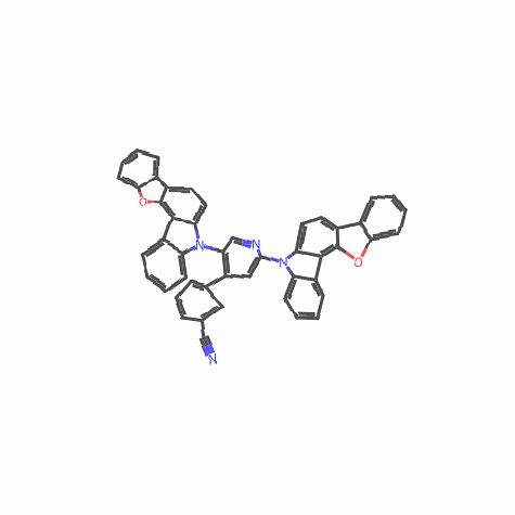 N#Cc1cccc(-c2cc(-n3c4ccccc4c4c5oc6ccccc6c5ccc43)ncc2-n2c3ccccc3c3c4oc5ccccc5c4ccc32)c1